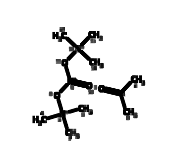 CC(C)=O.C[N+](C)(C)O[N+](=O)O[N+](C)(C)C